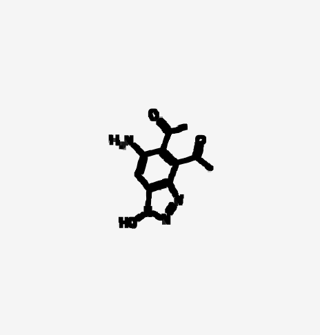 CC(=O)c1c(N)cc2c(nnn2O)c1C(C)=O